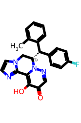 Cc1ccccc1C(c1ccc(F)cc1)[C@H]1Cn2ccnc2-c2c(O)c(=O)cnn21